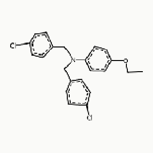 CCOc1ccc(N(Cc2ccc(Cl)cc2)Cc2ccc(Cl)cc2)cc1